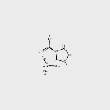 O=C(O)[C@@H]1CSCN1.O=[PH2][O-].[Na+]